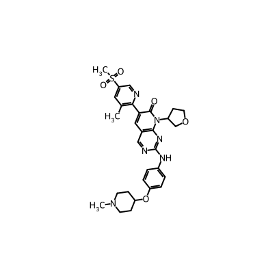 Cc1cc(S(C)(=O)=O)cnc1-c1cc2cnc(Nc3ccc(OC4CCN(C)CC4)cc3)nc2n(C2CCOC2)c1=O